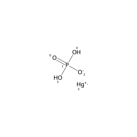 O=P([O-])(O)O.[Hg+]